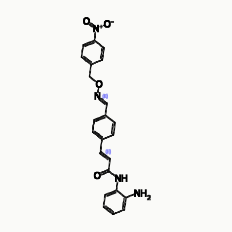 Nc1ccccc1NC(=O)/C=C/c1ccc(/C=N/OCc2ccc([N+](=O)[O-])cc2)cc1